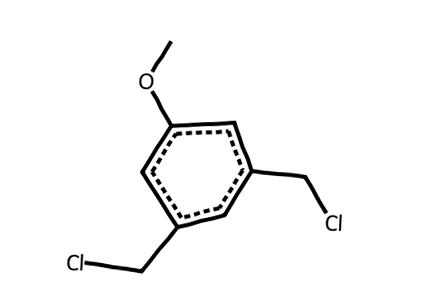 COc1cc(CCl)cc(CCl)c1